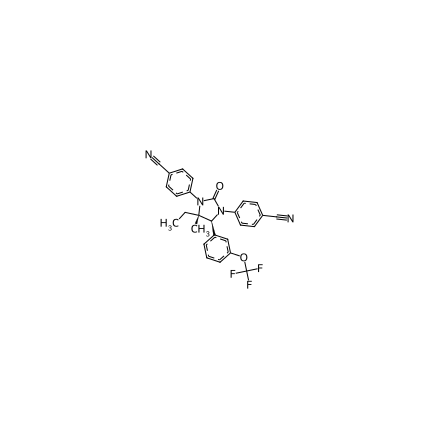 CC[C@@]1(C)[C@H](c2cccc(OC(F)(F)F)c2)N(c2ccc(C#N)cc2)C(=O)N1c1ccc(C#N)cc1